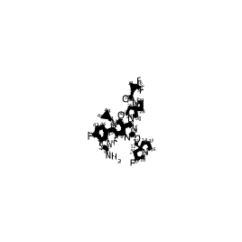 Nc1nc2c(-c3c(F)c4nc(OC[C@@]56CCCN5C[C@H](F)C6)nc(N5CCC6(CCN6C(=O)C6CC6(F)F)C5)c4c(=O)n3C3CC3)ccc(F)c2s1